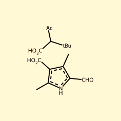 CC(=O)C(C(=O)O)C(C)(C)C.Cc1[nH]c(C=O)c(C)c1C(=O)O